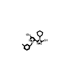 Cc1cccc(Cn2nc(C(C)(C)C)cc2-c2nnc(S)n2C2CCCCC2)c1